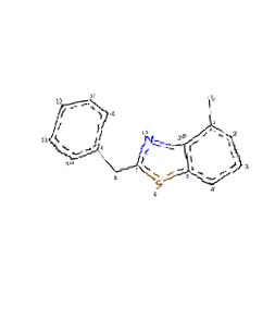 Cc1cccc2sc(Cc3ccccc3)nc12